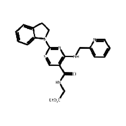 CCOC(=O)CNC(=O)c1cnc(N2CCc3ccccc32)nc1NCc1ccccn1